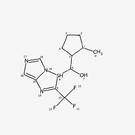 CC1CCCC1C(O)[SH]1C(C(F)(F)F)=Nc2cncn21